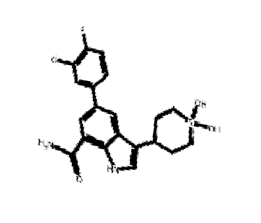 NC(=O)c1cc(-c2ccc(F)c(Cl)c2)cc2c(C3CCS(O)(O)CC3)c[nH]c12